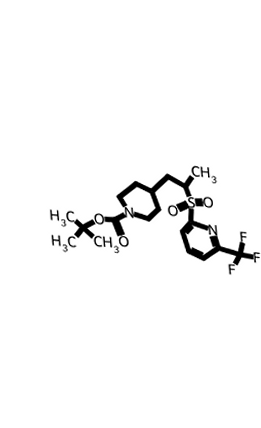 CC(CC1CCN(C(=O)OC(C)(C)C)CC1)S(=O)(=O)c1cccc(C(F)(F)F)n1